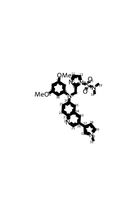 COc1cc(OC)cc(N(Cc2nccn2S(=O)(=O)N(C)C)c2ccc3ncc(-c4ccn(C)c4)cc3c2)c1